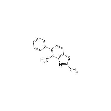 [CH2]c1c(-c2ccccc2)ccc2sc(C)nc12